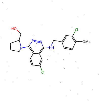 COc1ccc(CNc2nnc(N3CCCC3CO)c3ccc(Cl)cc23)cc1Cl